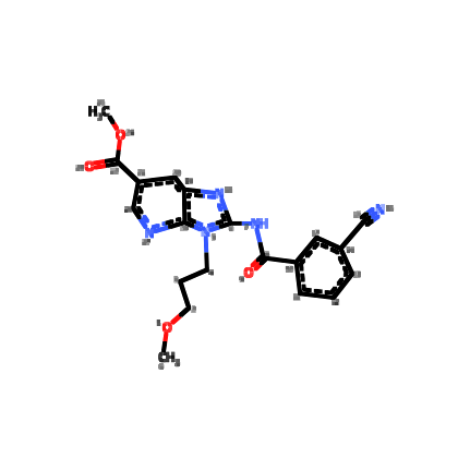 COCCCn1c(NC(=O)c2cccc(C#N)c2)nc2cc(C(=O)OC)cnc21